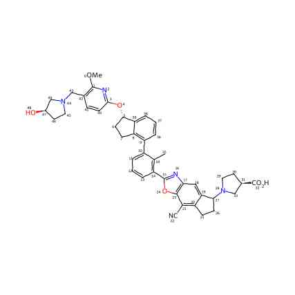 COc1nc(O[C@H]2CCc3c(-c4cccc(-c5nc6cc7c(c(C#N)c6o5)CCC7N5CC[C@@H](C(=O)O)C5)c4C)cccc32)ccc1CN1CC[C@@H](O)C1